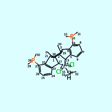 CCC1=Cc2c(cccc2P(C)C)[CH]1[Zr]([Cl])([Cl])([CH]1C(CC)=Cc2c1cccc2P(C)C)[SiH](C)C